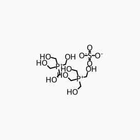 O=S(=O)([O-])[O-].OC[P+](CO)(CO)CO.OC[P+](CO)(CO)CO